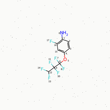 Nc1ccc(OC(F)(F)C(F)(F)C(F)F)cc1F